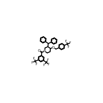 O=C(c1cc(C(F)(F)F)cc(C(F)(F)F)c1)N1CCC(OCc2ccc(C(F)(F)F)cc2)C(C(c2ccccc2)c2ccccc2)C1